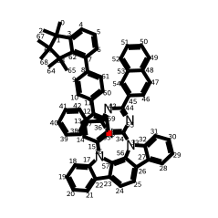 CC1(C)c2cccc(-c3ccc(-c4ccc(-n5c6ccccc6c6ccc7c8ccccc8n(-c8nc(-c9ccccc9)nc(-c9ccc%10ccccc%10c9)n8)c7c65)cc4)cc3)c2C(C)(C)C1(C)C